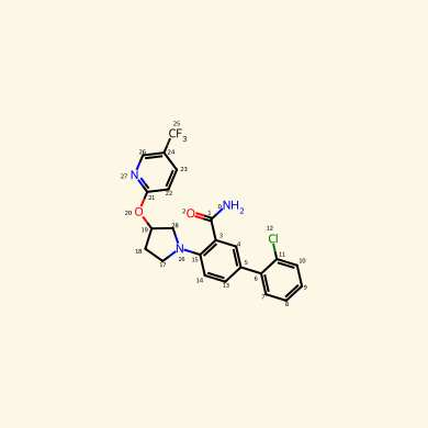 NC(=O)c1cc(-c2ccccc2Cl)ccc1N1CCC(Oc2ccc(C(F)(F)F)cn2)C1